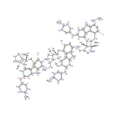 CNc1cc(F)c2c3c1[nH]c1nc(Oc4cnc(C)nc4)nc(c13)N1[C@@H](C2)[C@@H]2NCC(CNc3cc(F)c4c5c3[nH]c3nc(Oc6cnc(C)nc6)nc(c35)N3[C@@H](C4)[C@@H]4CNC(CNc5cc(F)c6c7c5[nH]c5nc(Oc8cnc(C)nc8)nc(c57)N5[C@@H](C6)[C@@H]6CCN[C@@H]65)[C@@H]43)[C@@H]21